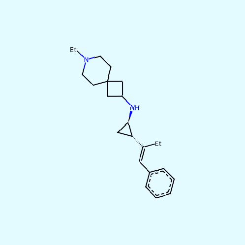 CC/C(=C\c1ccccc1)[C@@H]1C[C@H]1NC1CC2(CCN(CC)CC2)C1